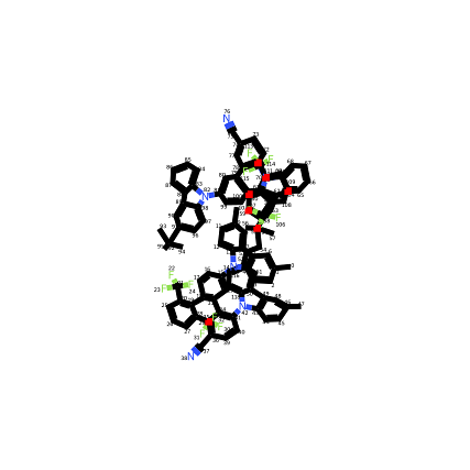 Cc1ccc2c(c1)c1cc(C)ccc1n2-c1ccc(-c2c(C(F)(F)F)cccc2C(F)(F)F)c(-c2cc(C#N)ccc2-n2c3ccc(C)cc3c3cc(CCC(C)(C)c4ccc5c(c4)c4ccccc4n5-c4ccc(C#N)cc4-c4cc(-n5c6ccccc6c6cc(C(C)(C)C)ccc65)ccc4-c4c(C(F)(F)F)cccc4C(F)(F)F)ccc32)c1